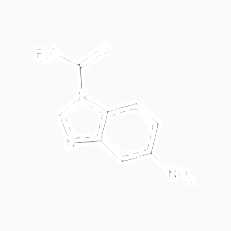 O=C(n1cnc2cc([N+](=O)[O-])ccc21)C(F)(F)F